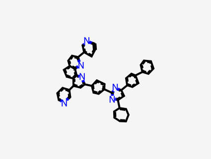 c1cc(-c2ccc3ccc4c(-c5cccnc5)cc(-c5ccc(-c6nc(C7=CCC=CC=C7)cc(-c7ccc(-c8ccccc8)cc7)n6)cc5)nc4c3n2)cnc#1